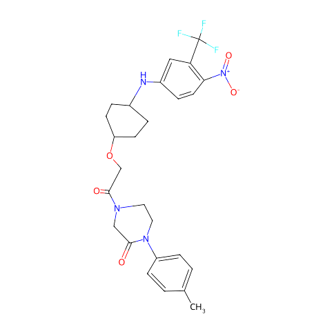 Cc1ccc(N2CCN(C(=O)COC3CCC(Nc4ccc([N+](=O)[O-])c(C(F)(F)F)c4)CC3)CC2=O)cc1